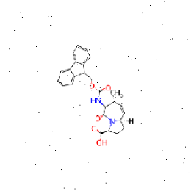 C[C@@H]1C=C[C@H]2CC[C@@H](C(=O)O)N2C(=O)[C@H]1NC(=O)OCC1c2ccccc2-c2ccccc21